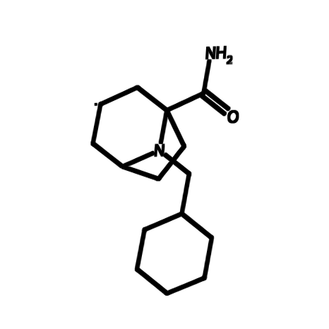 NC(=O)C12C[CH]CC(CC1)N2CC1CCCCC1